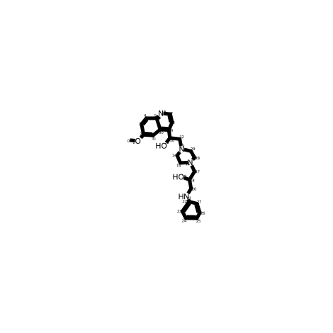 COc1ccc2nccc(C(O)CN3CCN(CC(O)CNc4ccccc4)CC3)c2c1